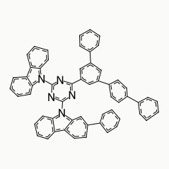 c1ccc(-c2ccc(-c3cc(-c4ccccc4)cc(-c4nc(-n5c6ccccc6c6ccccc65)nc(-n5c6ccccc6c6ccc(-c7ccccc7)cc65)n4)c3)cc2)cc1